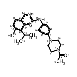 CC(=O)N1CCN(c2ccc(Nc3ncc4ccc(O)c(C(C)C)c4n3)cc2)CC1